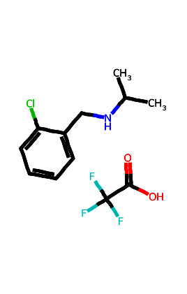 CC(C)NCc1ccccc1Cl.O=C(O)C(F)(F)F